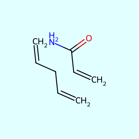 C=CC(N)=O.C=CCC=C